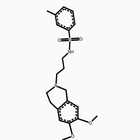 COc1cc2c(cc1OC)CN(CCCNS(=O)(=O)c1cccc(C)c1)CC2